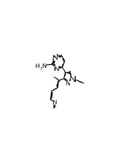 C=N/C=C\C=C(/C)c1nn(C)cc1-c1ccnc(N)n1